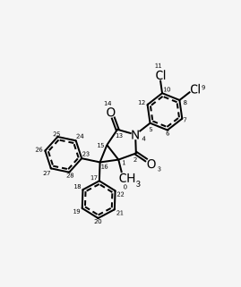 CC12C(=O)N(c3ccc(Cl)c(Cl)c3)C(=O)C1C2(c1ccccc1)c1ccccc1